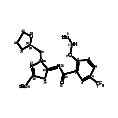 CC(C)(C)NOc1ccc(C(F)(F)F)cc1C(=O)N=c1sc(C(C)(C)C)nn1C[C@H]1CCCO1